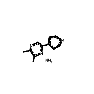 Cc1ncc(-c2ccncc2)nc1C.N